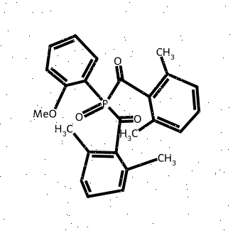 COc1ccccc1P(=O)(C(=O)c1c(C)cccc1C)C(=O)c1c(C)cccc1C